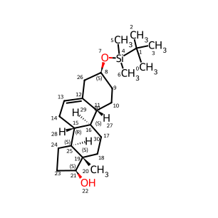 CC(C)(C)[Si](C)(C)O[C@H]1CC[C@H]2C(=CC[C@@H]3[C@@H]2CC[C@]2(C)[C@@H](O)CC[C@@H]32)C1